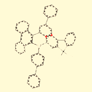 CC1(C)c2ccccc2-c2ccc(N(c3ccc(-c4ccccc4)cc3)c3c(-c4cccc(-c5ccccc5)c4)c4ccccc4c4ccccc34)cc21